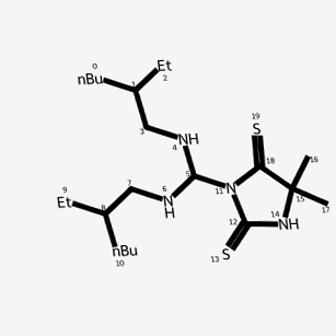 CCCCC(CC)CNC(NCC(CC)CCCC)N1C(=S)NC(C)(C)C1=S